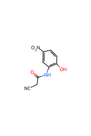 N#CCC(=O)Nc1cc([N+](=O)[O-])ccc1O